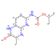 Cc1nc2nc(NC(=O)OC(C)C)ccc2[nH]c1=O